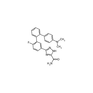 CN(C)c1ccc(-c2ccccc2-c2cc(-c3n[nH]c(C(N)=O)n3)ccc2F)cc1